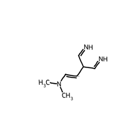 CN(C)C=[C]C(C=N)C=N